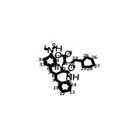 CN(C)c1ccc(CC2Cc3ccccc3NC(=O)C2N[C@@H](CCC2CCCCC2)C(=O)O)cc1